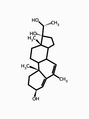 CC1=CC2C(CC[C@@]3(C)C2CC[C@]3(O)[C@@H](C)O)[C@@]2(C)CC[C@H](O)C=C12